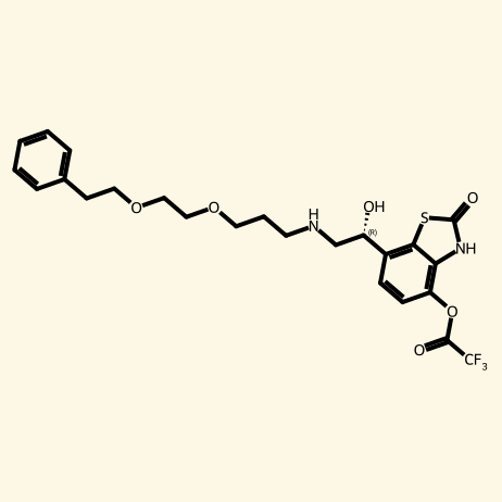 O=C(Oc1ccc([C@@H](O)CNCCCOCCOCCc2ccccc2)c2sc(=O)[nH]c12)C(F)(F)F